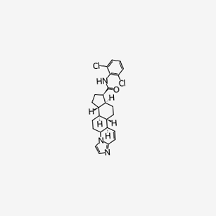 O=C(Nc1c(Cl)cccc1Cl)[C@@H]1CC[C@H]2[C@@H]3CCC4[C@H](C=Cc5nccn54)[C@H]3CC[C@@H]21